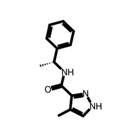 Cc1c[nH]nc1C(=O)N[C@H](C)c1ccccc1